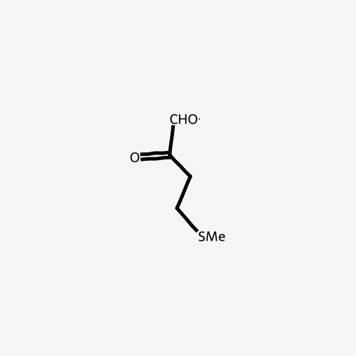 CSCCC(=O)[C]=O